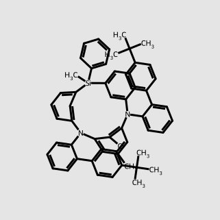 Cc1cc2c(Cl)c(c1)N(c1ccccc1-c1ccc(C(C)(C)C)cc1)c1cccc(c1)[Si](C)(c1ccccc1)c1cccc(c1)N2c1ccccc1-c1ccc(C(C)(C)C)cc1